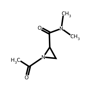 CC(=O)N1CC1C(=O)N(C)C